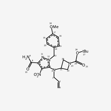 C=CCN(c1c([N+](=O)[O-])c(C(N)=O)nn1Cc1ccc(OC)cc1)C1CN(C(=O)OC(C)(C)C)C1